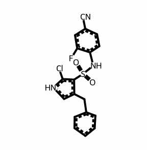 N#Cc1ccc(NS(=O)(=O)c2c(Cc3ccccc3)c[nH]c2Cl)c(F)c1